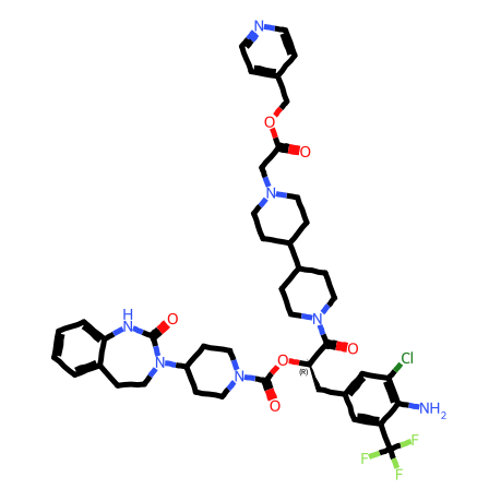 Nc1c(Cl)cc(C[C@@H](OC(=O)N2CCC(N3CCc4ccccc4NC3=O)CC2)C(=O)N2CCC(C3CCN(CC(=O)OCc4ccncc4)CC3)CC2)cc1C(F)(F)F